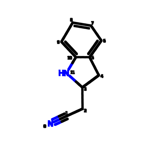 N#CCC1Cc2ccccc2N1